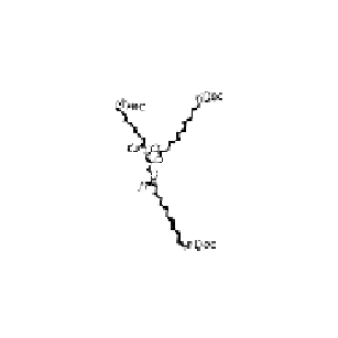 CCCCCCCCCC/C=C\CCCCCCCCCC(=O)OC[C@@H](COC(=O)CCCCCCCCCCCCCCCC)OC(=O)CCCCCCCCCCCCCCCCCCC